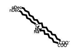 CCCCCCCCCCCCCCCCCCCCCCCCCCCC(=O)[O-].CCCCCCCCCCCCCCCCCCCCCCCCCCCC(=O)[O-].[Na+].[Na+]